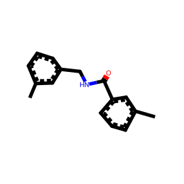 Cc1cccc(CNC(=O)c2cccc(C)c2)c1